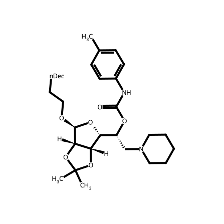 CCCCCCCCCCCCO[C@H]1O[C@H]([C@@H](CN2CCCCC2)OC(=O)Nc2ccc(C)cc2)[C@@H]2OC(C)(C)O[C@H]12